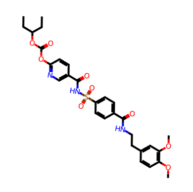 CCC(CC)OC(=O)Oc1ccc(C(=O)NS(=O)(=O)c2ccc(C(=O)NCCc3ccc(OC)c(OC)c3)cc2)cn1